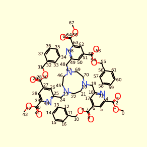 COC(=O)c1cc(C(=O)OCc2ccccc2)cc(CN2CCN(Cc3cc(C(=O)OCc4ccccc4)cc(C(=O)OC)n3)CCN(Cc3cc(C(=O)OCc4ccccc4)cc(C(=O)OC)n3)CC2)n1